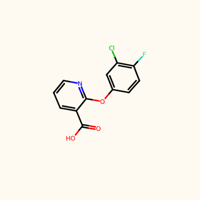 O=C(O)c1cccnc1Oc1ccc(F)c(Cl)c1